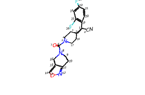 N#CC(=C1CCN(C(=O)N2CCc3nocc3C2)CC1)c1ccc(F)cc1F